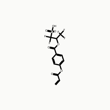 C=CC(=O)Oc1ccc(C(=O)OC(C(F)(F)F)C(F)(F)S(=O)(=O)O)cc1